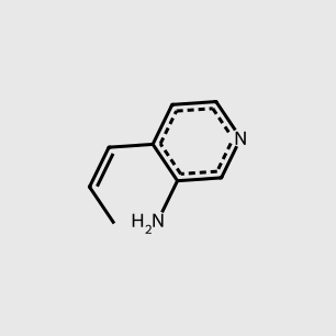 C/C=C\c1ccncc1N